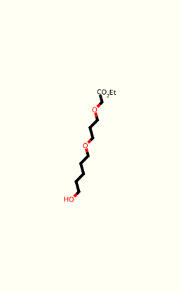 CCOC(=O)COCCCOCCCCCO